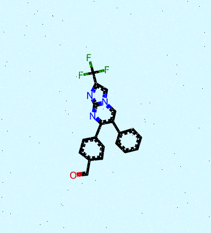 O=Cc1ccc(-c2nc3nc(C(F)(F)F)cn3cc2-c2ccccc2)cc1